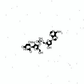 CO[C@@H]1C(n2ccc(=O)[nH]c2=O)O[C@H](CO)[C@@H]1O[P@](=O)(S)OC[C@H]1O[C@@H](n2cnc3c(N)ncnc32)C[C@H]1O